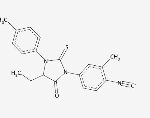 [C-]#[N+]c1ccc(N2C(=O)C(CC)N(c3ccc(C)cc3)C2=S)cc1C